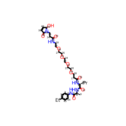 CCc1ccc(NC(=O)[C@H](C)NC(=O)[C@@H](NC(=O)CCOCCOCCOCCOCCNC(=O)CCN2C(=O)C=CC2O)C(C)C)cc1